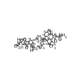 CC(Oc1cc(-n2cnc3ccc(CN4CCN(C)CC4)cc32)sc1C(N)=O)c1ccc(OCCC(C)(C)OCCC(C)(C)Nc2cccc3c2C(=O)N(C2CCC(=O)NC2=O)C3=O)cc1C(F)(F)F